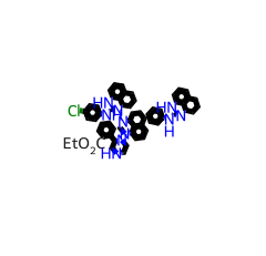 CCOC(=O)c1ccccc1C1CNCCN1N1C=NC2CCCc3cccc1c32.Clc1ccc(NC2=NC3CCCc4cccc(c43)N2)cc1.c1ccc(NC2=NC3CCCc4cccc(c43)N2)cc1